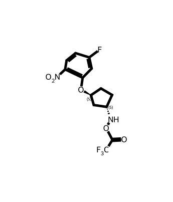 O=C(ON[C@H]1CC[C@H](Oc2cc(F)ccc2[N+](=O)[O-])C1)C(F)(F)F